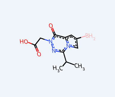 Bc1cc2c(=O)n(CC(=O)O)nc(C(C)C)n2c1